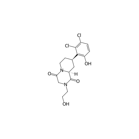 O=C1[C@@H]2C[C@H](c3c(O)ccc(Cl)c3Cl)CCN2C(=O)CN1CCO